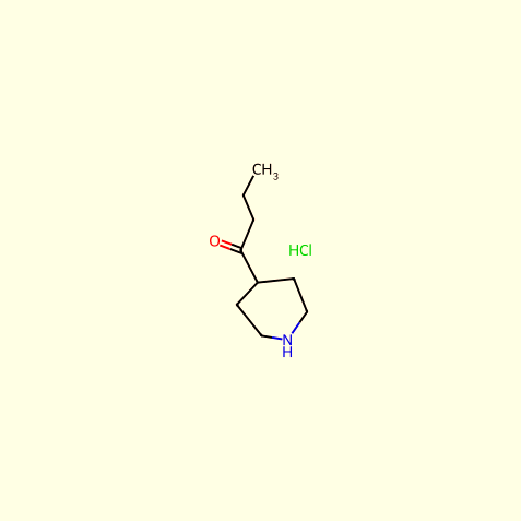 CCCC(=O)C1CCNCC1.Cl